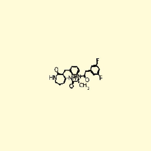 C[C@H](NC(=O)Cc1cc(F)cc(F)c1)C(=O)N[C@H]1CCCNC(=O)C1Cc1ccccc1